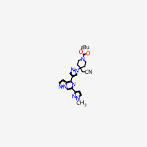 Cn1ccc(-c2cn3nccc3c(-c3cnn(C4(CC#N)CCN(C(=O)OC(C)(C)C)CC4)c3)n2)n1